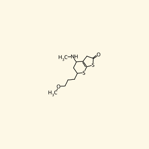 CNC1CC(CCCOC)SC2=C1CC(=O)S2